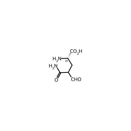 NC(=O)C(C=O)C[C@H](N)C(=O)O